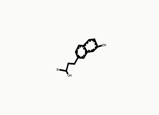 CCC(O)CCc1ccc2ccc(O)cc2c1